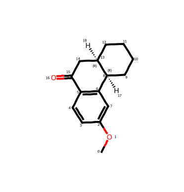 COc1ccc2c(c1)[C@@H]1CCCC[C@@H]1CC2=O